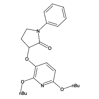 CCCCOc1ccc(OC2CCN(c3ccccc3)C2=O)c(OCCCC)n1